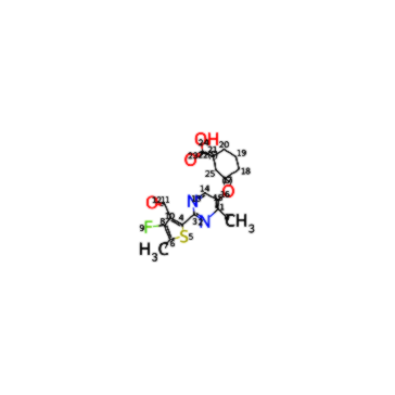 Cc1nc(-c2sc(C)c(F)c2C=O)ncc1O[C@H]1CCC[C@H](C(=O)O)C1